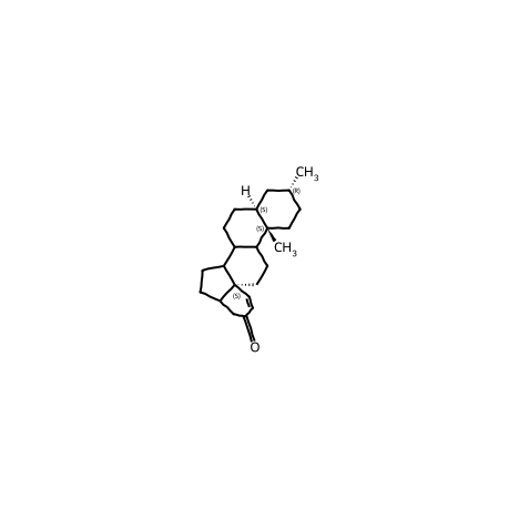 C[C@@H]1CC[C@]2(C)C3CC[C@]45C=CC(=O)CC4CCC5C3CC[C@H]2C1